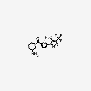 Cc1c(-c2ccc(C(=O)N3CCCC(N)C3)s2)noc1C(F)(F)F